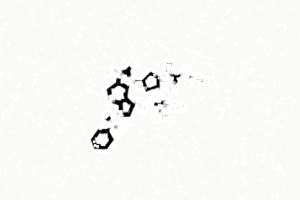 CC(C)(C)OC(=O)N[C@H]1C[C@H](n2c(=O)[nH]c3cnc4c(ccn4S(=O)(=O)c4ccccc4)c32)C[C@H]1O[Si](C)(C)C(C)(C)C